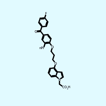 CCCc1cc(C(=O)c2ccc(F)cc2)ccc1OCCCOc1cccc2c1ccn2CC(=O)O